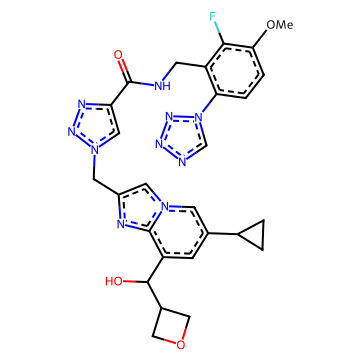 COc1ccc(-n2cnnn2)c(CNC(=O)c2cn(Cc3cn4cc(C5CC5)cc(C(O)C5COC5)c4n3)nn2)c1F